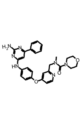 CN(Cc1cc(Oc2ccc(Nc3cc(-c4ccccc4)nc(N)n3)cc2)ccn1)C(=O)N1CCOCC1